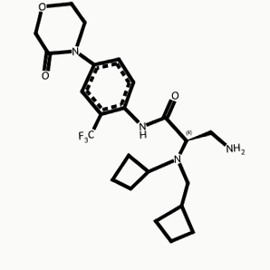 NC[C@H](C(=O)Nc1ccc(N2CCOCC2=O)cc1C(F)(F)F)N(CC1CCC1)C1CCC1